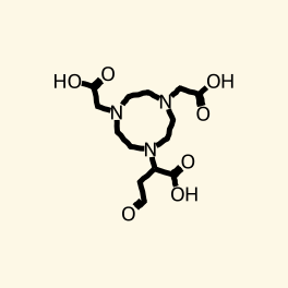 O=CCC(C(=O)O)N1CCN(CC(=O)O)CCN(CC(=O)O)CC1